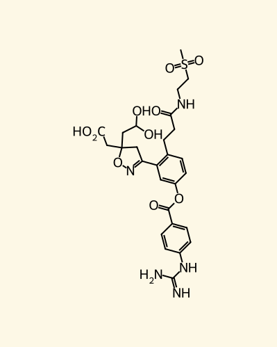 CS(=O)(=O)CCNC(=O)CCc1ccc(OC(=O)c2ccc(NC(=N)N)cc2)cc1C1=NOC(CC(=O)O)(CC(O)O)C1